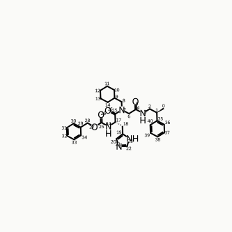 C[C@H](CNC(=O)CN(CC1CCCCC1)C(=O)[C@H](Cc1cnc[nH]1)NC(=O)OCc1ccccc1)c1ccccc1